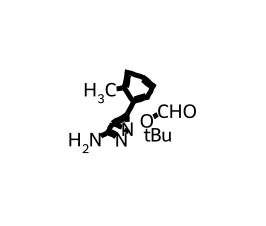 CC(C)(C)OC=O.Cc1ccccc1-c1c2c(N)nn1-2